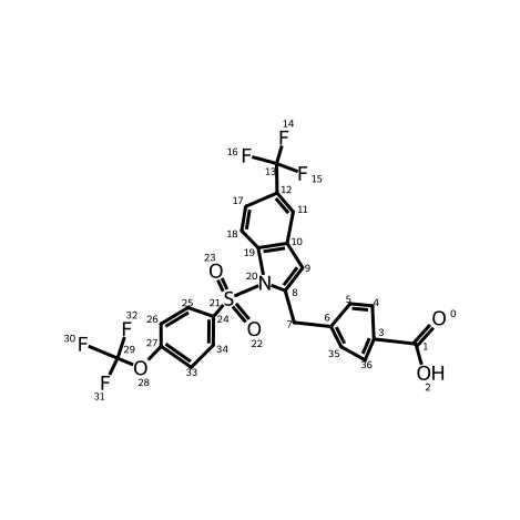 O=C(O)c1ccc(Cc2cc3cc(C(F)(F)F)ccc3n2S(=O)(=O)c2ccc(OC(F)(F)F)cc2)cc1